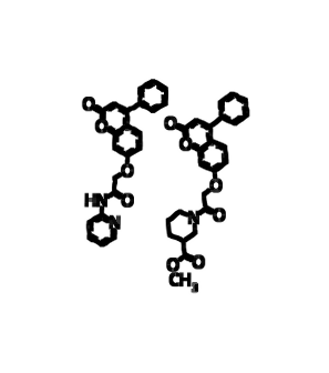 COC(=O)C1CCCN(C(=O)COc2ccc3c(-c4ccccc4)cc(=O)oc3c2)C1.O=C(COc1ccc2c(-c3ccccc3)cc(=O)oc2c1)Nc1ccccn1